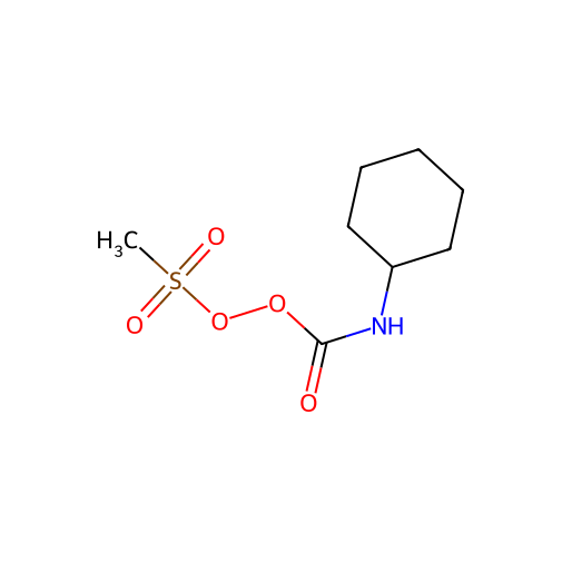 CS(=O)(=O)OOC(=O)NC1CCCCC1